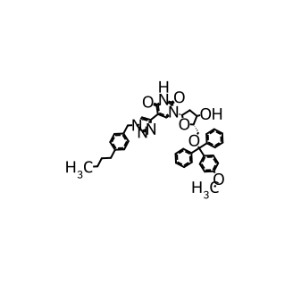 CCCCc1ccc(Cn2cc(-c3cn([C@@H]4CC(O)[C@H](COC(c5ccccc5)(c5ccccc5)c5ccc(OC)cc5)O4)c(=O)[nH]c3=O)nn2)cc1